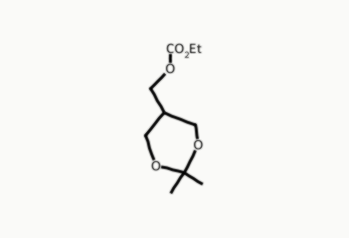 C[CH]OC(=O)OCC1COC(C)(C)OC1